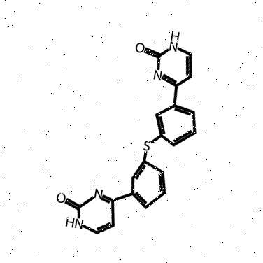 O=c1nc(-c2cccc(Sc3cccc(-c4cc[nH]c(=O)n4)c3)c2)cc[nH]1